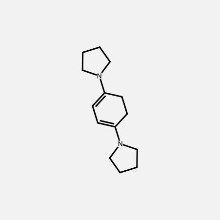 C1=C(N2CCCC2)CCC(N2CCCC2)=C1